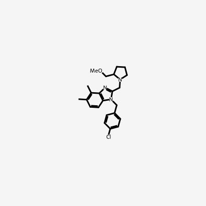 COCC1CCCN1Cc1nc2c(C)c(C)ccc2n1Cc1ccc(Cl)cc1